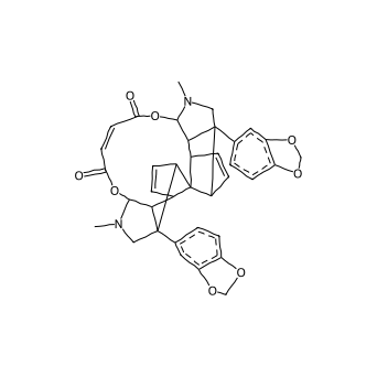 CN1CC2(c3ccc4c(c3)OCO4)C3C1OC(=O)/C=C\C(=O)OC1C4C5C=CC(C4(c4ccc6c(c4)OCO6)CN1C)C51C3C=CC21